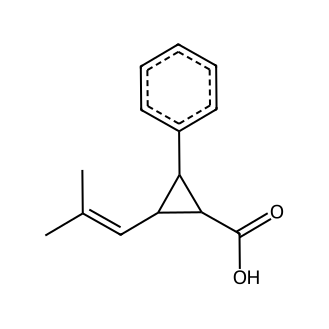 CC(C)=CC1C(C(=O)O)C1c1ccccc1